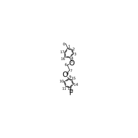 Cc1ccc(OCCOc2ccc(F)cc2)cc1